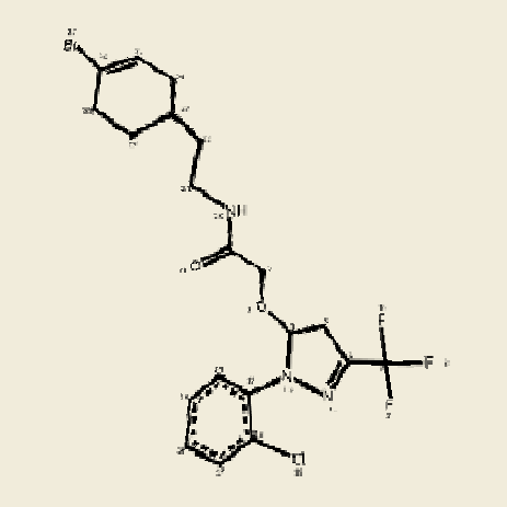 O=C(COC1CC(C(F)(F)F)=NN1c1ccccc1Cl)NCCC1CC=C(Br)CC1